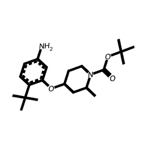 CC1CC(Oc2cc(N)ccc2C(C)(C)C)CCN1C(=O)OC(C)(C)C